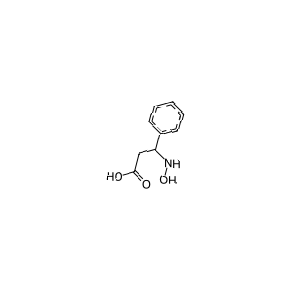 O=C(O)CC(NO)c1ccccc1